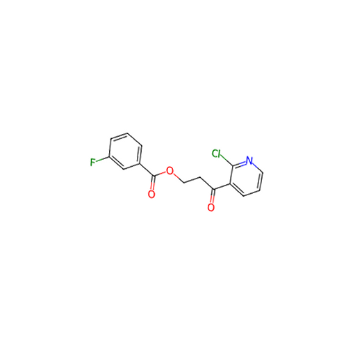 O=C(OCCC(=O)c1cccnc1Cl)c1cccc(F)c1